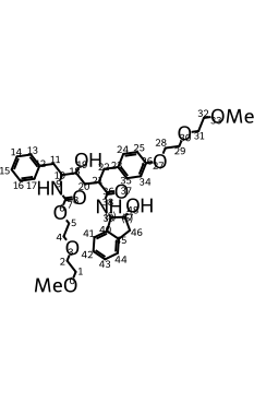 COCCOCCOC(=O)NC(Cc1ccccc1)C(O)CC(Cc1ccc(OCCOCCOC)cc1)C(=O)N[C@H]1c2ccccc2C[C@@H]1O